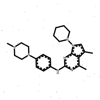 Cc1cn(N2CCCCC2)c2nc(Nc3ccc(N4CCN(C)CC4)cc3)nc(C)c12